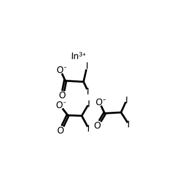 O=C([O-])C(I)I.O=C([O-])C(I)I.O=C([O-])C(I)I.[In+3]